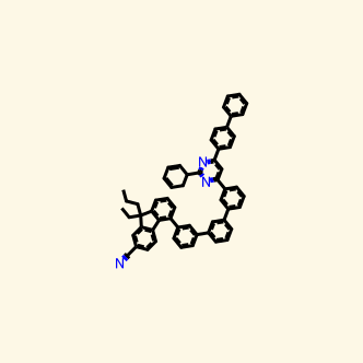 CCCC1(CC)c2cc(C#N)ccc2-c2c(-c3cccc(-c4cccc(-c5cccc(-c6cc(-c7ccc(-c8ccccc8)cc7)nc(C7C=CC=CC7)n6)c5)c4)c3)cccc21